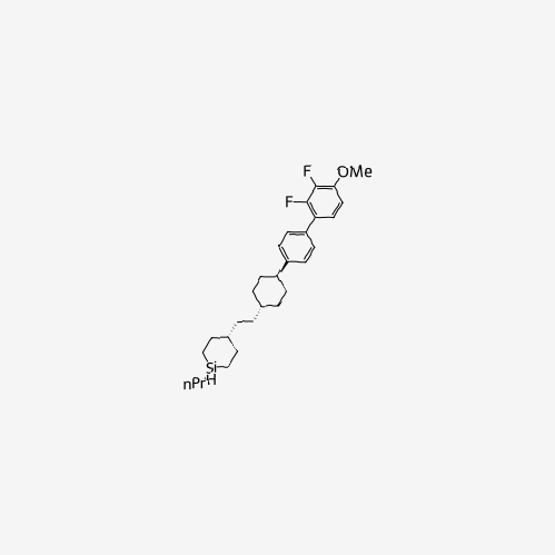 CCC[Si@H]1CC[C@H](CC[C@H]2CC[C@H](c3ccc(-c4ccc(OC)c(F)c4F)cc3)CC2)CC1